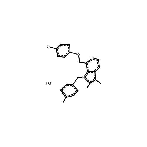 Cc1ccc(Cn2c(C)c(C)c3ccnc(COc4ccc(Cl)cc4)c32)cc1.Cl